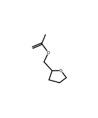 C=C(C)OCC1CCCO1